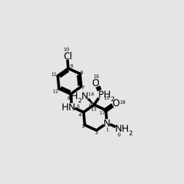 NN1CCC(Nc2ccc(Cl)cc2)[C@](N)([PH2]=O)C1=O